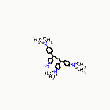 CCN(CC)c1ccc(C(=CC=CC(=C2C=CC(=N)C=C2)c2ccc(N(CC)CC)cc2)c2ccc(N(CC)CC)cc2)cc1